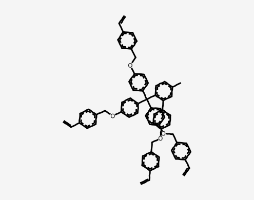 C=Cc1ccc(COc2ccc(-c3cc(C)ccc3C(c3ccc(OCc4ccc(C=C)cc4)cc3)(c3ccc(OCc4ccc(C=C)cc4)cc3)c3ccc(OCc4ccc(C=C)cc4)cc3)cc2)cc1